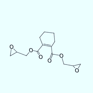 O=C(OCC1CO1)C1=C(C(=O)OCC2CO2)CCCC1